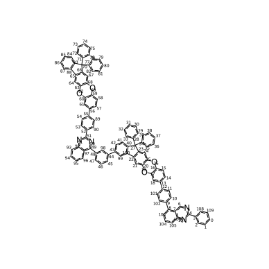 c1ccc(-c2ncc3c(-c4ccc(-c5ccc6c(c5)Oc5cc7c(cc5O6)C(c5ccccc5)(c5ccccc5)c5ccc(-c6cccc(-c8nc(-c9ccc(-c%10ccc%11c(c%10)Oc%10cc%12c(cc%10O%11)C(c%10ccccc%10)(c%10ccccc%10)c%10ccccc%10-%12)cc9)nc9ccccc89)c6)cc5-7)cc4)cccc3n2)cc1